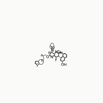 C#Cc1cccc2cc(O)cc(-c3c(C(C)C)cc4c(N5CC6CCC(C5)N6)nc(OCC5(CN6CCc7sccc7C6)CC5)nc4c3F)c12